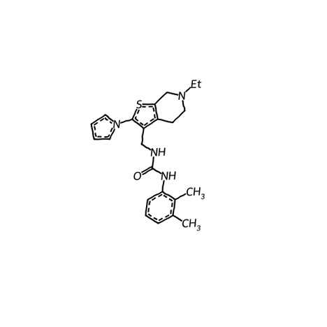 CCN1CCc2c(sc(-n3cccc3)c2CNC(=O)Nc2cccc(C)c2C)C1